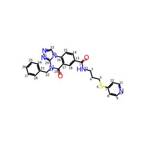 O=C(NCCCSc1ccncc1)c1ccc2c(c1)c(=O)n(Cc1ccccc1)c1nncn21